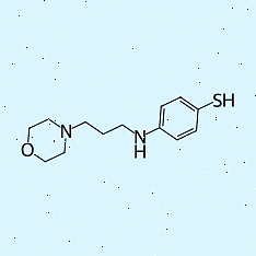 Sc1ccc(NCCCN2CCOCC2)cc1